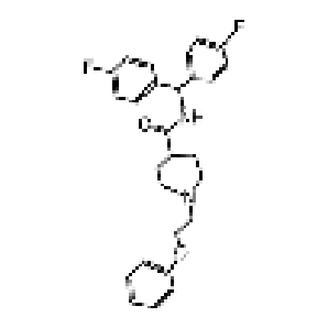 O=C(NC(c1ccc(F)cc1)c1ccc(F)cc1)C1CCN(CCOc2ccccc2)CC1